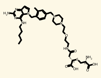 CCCCCNc1nc(N)nc2ccn(Cc3ccc(CN4CCN(CCOCCNC(=O)C[C@H](SC[C@H](N)C(=O)O)C(=O)O)CC4)cc3C)c12